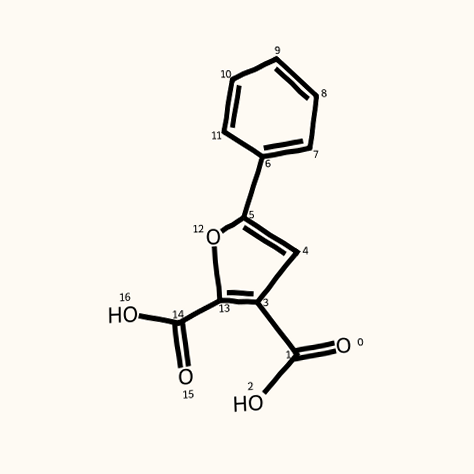 O=C(O)c1cc(-c2ccccc2)oc1C(=O)O